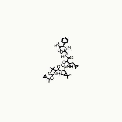 CC(OC(=O)N[C@H](C(=O)N1CC2C([C@H]1C(=O)NC(CC1CC1)C(=O)C(=O)NCC(=O)N[C@H](C(=O)N(C)C)c1ccccc1)C2(C)C)C(C)(C)C)C1CC1